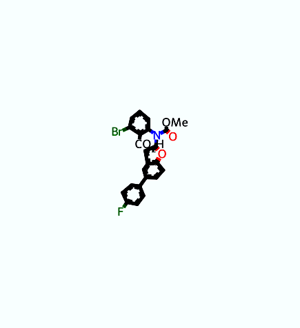 COC(=O)N(c1cc2cc(-c3ccc(F)cc3)ccc2o1)c1cccc(Br)c1C(=O)O